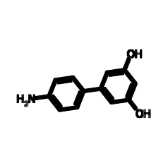 Nc1ccc(-c2cc(O)cc(O)c2)cc1